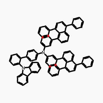 c1ccc(-c2ccc(-c3ccccc3)c3c(-c4cccc(N(c5ccc(-c6ccccc6-n6c7ccccc7c7ccccc76)cc5)c5cccc(-c6cccc7c(-c8ccccc8)ccc(-c8ccccc8)c67)c5)c4)cccc23)cc1